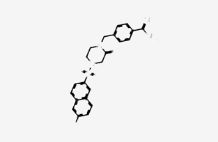 N=C(N)c1ccc(CN2CCN(S(=O)(=O)c3ccc4cc(Cl)ccc4c3)CC2=O)cc1